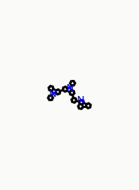 c1ccc(-n2c3ccccc3c3cc(-c4ccc5c(c4)c4cc(-c6cccc(-c7ncc8c9c(cccc79)-c7ccccc7-8)c6)ccc4n5-c4ccccc4)ccc32)cc1